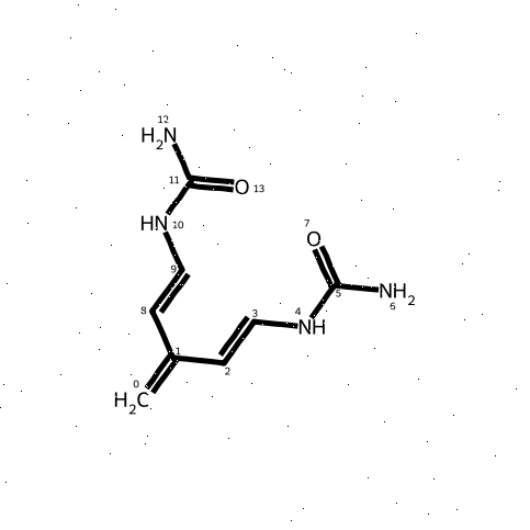 C=C(C=CNC(N)=O)C=CNC(N)=O